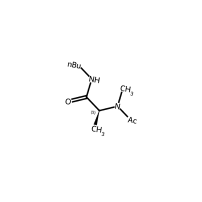 CCCCNC(=O)[C@H](C)N(C)C(C)=O